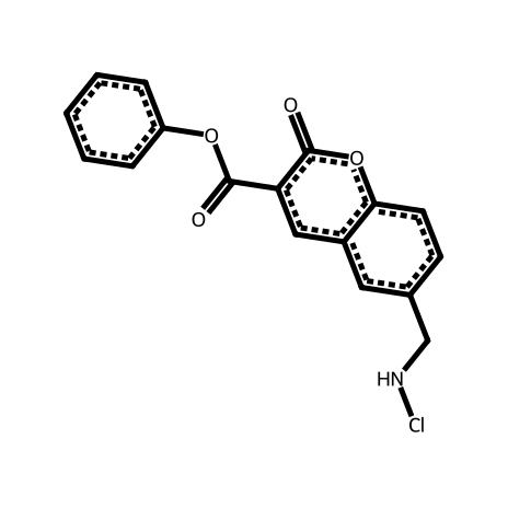 O=C(Oc1ccccc1)c1cc2cc(CNCl)ccc2oc1=O